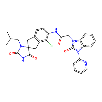 CC(C)CN1C(=O)NC(=O)C12Cc1ccc(NC(=O)Cn3c(=O)n(-c4ccccn4)c4ccccc43)c(Cl)c1C2